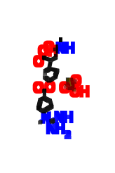 CNC(=O)CC(C(=O)O)c1ccc(OC(=O)c2ccc(N(C)C(=N)N)cc2)cc1.CS(=O)(=O)O